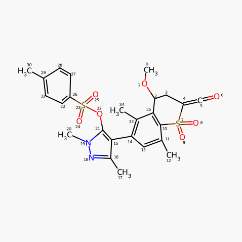 COC1CC(=C=O)S(=O)(=O)c2c(C)cc(-c3c(C)nn(C)c3OS(=O)(=O)c3ccc(C)cc3)c(C)c21